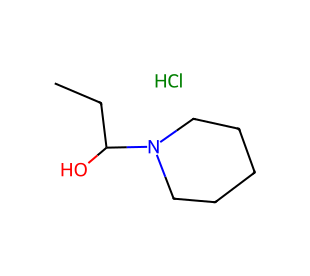 CCC(O)N1CCCCC1.Cl